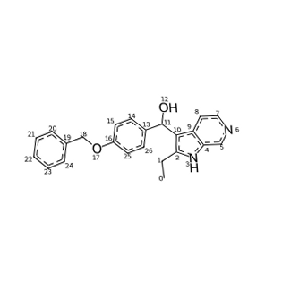 CCc1[nH]c2cnccc2c1C(O)c1ccc(OCc2ccccc2)cc1